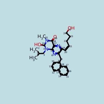 CC(C)CN1c2nc(Cc3cccc4ccccc34)c(/C=C\CCCO)nc2C(=O)N(C)C1O